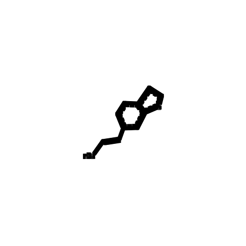 [CH2]CCCC=Cc1ccc2ccsc2c1